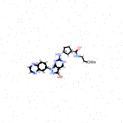 COCCNC(=O)[C@@H]1CC[C@@H](Nc2ncc3c(Br)nn(-c4ccc5nccnc5c4)c3n2)C1